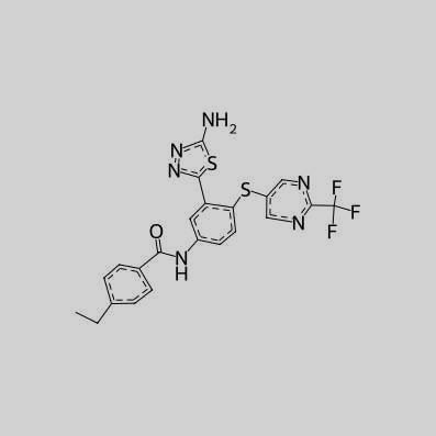 CCc1ccc(C(=O)Nc2ccc(Sc3cnc(C(F)(F)F)nc3)c(-c3nnc(N)s3)c2)cc1